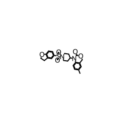 Cc1ccc2c(c1)COC(=O)N2C1CCN(S(=O)(=O)c2ccc3c(c2)CCO3)CC1